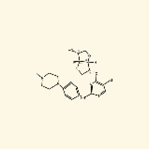 CN1CCN(c2ccc(Nc3ncc(Cl)c(O[C@@H]4CO[C@H]5[C@@H]4OC[C@H]5O)n3)cc2)CC1